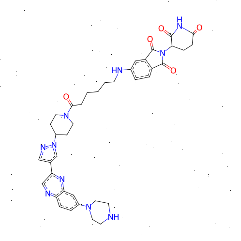 O=C1CCC(N2C(=O)c3ccc(NCCCCCC(=O)N4CCC(n5cc(-c6cnc7ccc(N8CCNCC8)cc7n6)cn5)CC4)cc3C2=O)C(=O)N1